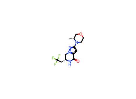 C[C@@H]1COCCN1c1cc2n(n1)C[C@@H](CC(F)(F)F)NC2=O